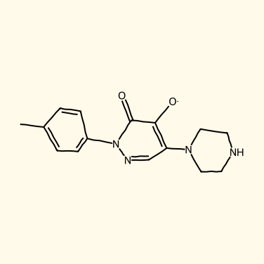 Cc1ccc(-n2ncc(N3CCNCC3)c([O])c2=O)cc1